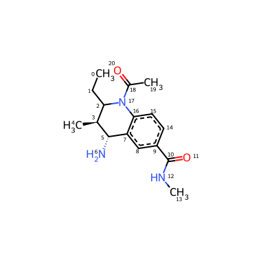 CCC1[C@H](C)[C@@H](N)c2cc(C(=O)NC)ccc2N1C(C)=O